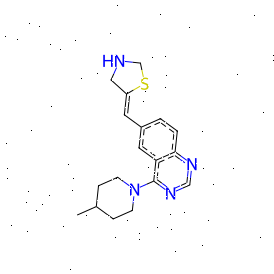 CC1CCN(c2ncnc3ccc(C=C4CNCS4)cc23)CC1